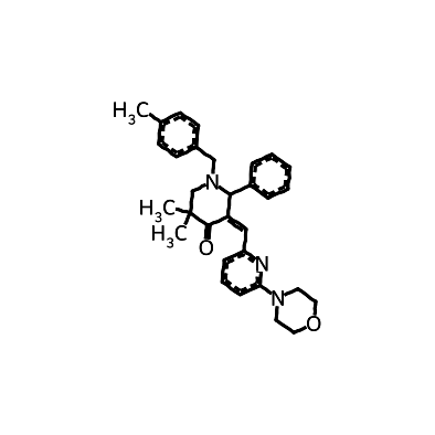 Cc1ccc(CN2CC(C)(C)C(=O)/C(=C\c3cccc(N4CCOCC4)n3)C2c2ccccc2)cc1